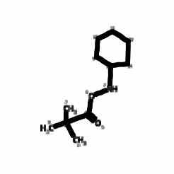 CC(C)(C)C(=O)ONC1CCCCC1